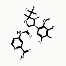 [2H]c1cc([C@H]2[C@H](C(=O)Nc3ccnc(C(N)=O)c3)OC(C)(C(F)(F)F)[C@H]2C)c(OC)c(F)c1F